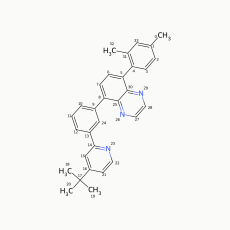 Cc1ccc(-c2ccc(-c3cccc(-c4cc(C(C)(C)C)ccn4)c3)c3nccnc23)c(C)c1